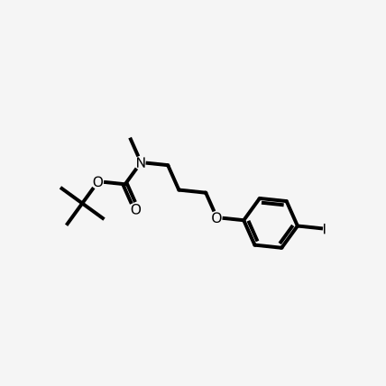 CN(CCCOc1ccc(I)cc1)C(=O)OC(C)(C)C